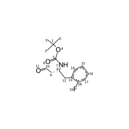 CC(C)(C)OC(=O)N[C@@H](CC=O)Cc1ccccc1F